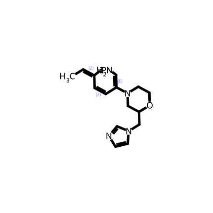 C\C=C(/C=C\C(=C/N)N1CCOC(Cn2ccnc2)C1)C(C)C